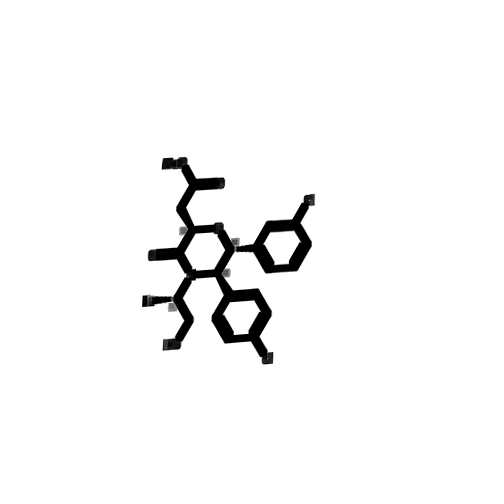 CC[C@@H](CO)N1C(=O)[C@@H](CC(=O)OC)O[C@H](c2cccc(Cl)c2)[C@H]1c1ccc(Cl)cc1